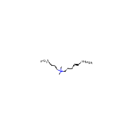 CCCCCCCC=CCCC[N+](C)(C)CCCS(=O)(=O)O